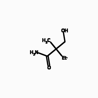 C[CH]C(C)(CO)C(N)=O